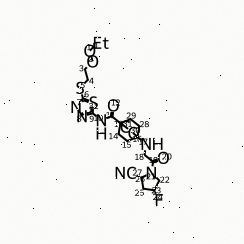 CCOOCCSc1nnc(NC(=O)C23CCC(NCC(=O)N4C[C@@H](F)C[C@H]4C#N)(CC2)CC3)s1